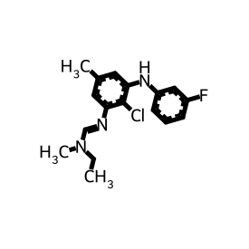 CCN(C)C=Nc1cc(C)cc(Nc2cccc(F)c2)c1Cl